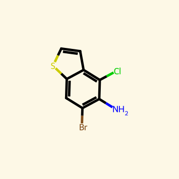 Nc1c(Br)cc2sccc2c1Cl